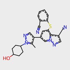 Cc1c(-c2cc(Sc3ccccc3C#N)c3c(C#N)cnn3c2)cnn1C1CCC(O)CC1